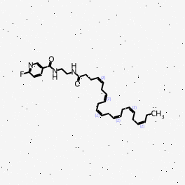 CC/C=C\C/C=C\C/C=C\C/C=C\C/C=C\C/C=C\CCC(=O)NCCNC(=O)c1ccc(F)nc1